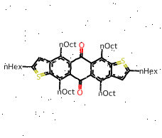 CCCCCCCCc1c2c(c(CCCCCCCC)c3sc(CCCCCC)cc13)C(=O)c1c(c(CCCCCCCC)c3sc(CCCCCC)cc3c1CCCCCCCC)C2=O